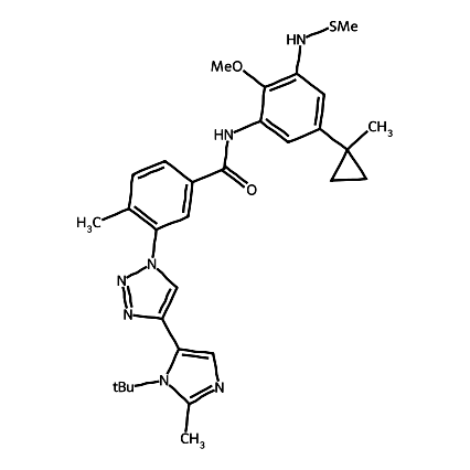 COc1c(NSC)cc(C2(C)CC2)cc1NC(=O)c1ccc(C)c(-n2cc(-c3cnc(C)n3C(C)(C)C)nn2)c1